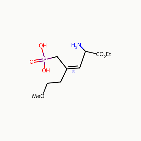 CCOC(=O)C(N)/C=C(/CCOC)CP(=O)(O)O